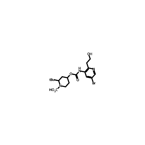 CC(C)(C)C1CC(OC(=O)Nc2cc(Br)cnc2CCO)CCN1C(=O)O